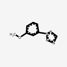 COc1cc[c]c(-n2ncnn2)c1